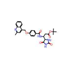 Cc1cc(COc2ccc(C(=O)NC(CC(=O)OC(C)(C)C)C3NC(=O)NC3=O)cc2)c2ccccc2n1